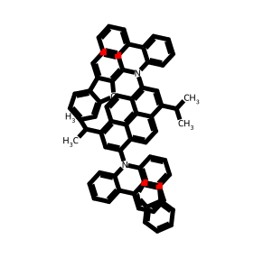 CC(C)c1cc(N(c2ccccc2-c2ccccc2)c2cccc3c2oc2ccccc23)c2ccc3c(C(C)C)cc(N(c4ccccc4-c4ccccc4)c4cccc5c4oc4ccccc45)c4ccc1c2c34